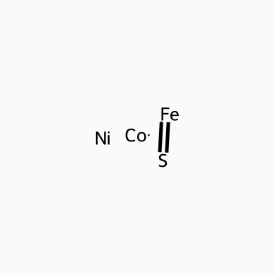 [Co].[Ni].[S]=[Fe]